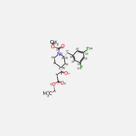 CCOC(=O)CC(=O)[C@@H]1CCN(C(=O)OC)[C@H](Cc2cc(F)cc(F)c2)C1